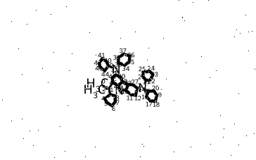 CC1(C)c2ccccc2-n2c3ccc(N(c4ccccc4)c4ccccc4)cc3c3cc(N(c4ccccc4)c4ccccc4)cc1c32